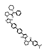 CN(C)c1ccc(C(=O)N2CCC[C@H]2c2ncc(-c3ccc(-c4ccc(C5CN=C([C@@H]6CCCN6C(=O)[C@@H](c6ccccc6)N6CCCCC6)N5)cc4)cc3)[nH]2)cc1